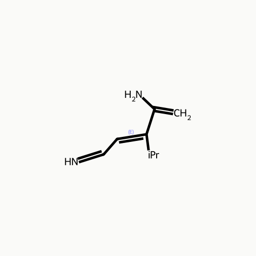 C=C(N)/C(=C/C=N)C(C)C